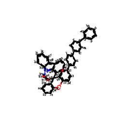 c1ccc(-c2ccc(-c3ccc(-c4ccc5c(c4)C4(c6ccccc6O5)c5ccccc5-n5c6ccccc6c6cccc4c65)cc3)cc2)cc1